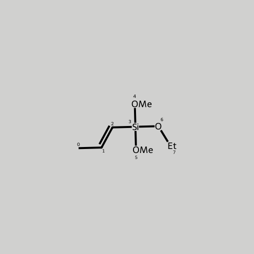 CC=C[Si](OC)(OC)OCC